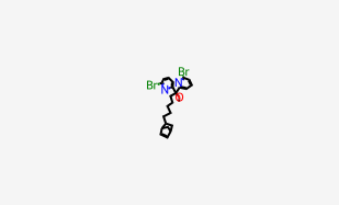 COC(CCCCCC1CC2C=CC1C2)(c1cccc(Br)n1)c1cccc(Br)n1